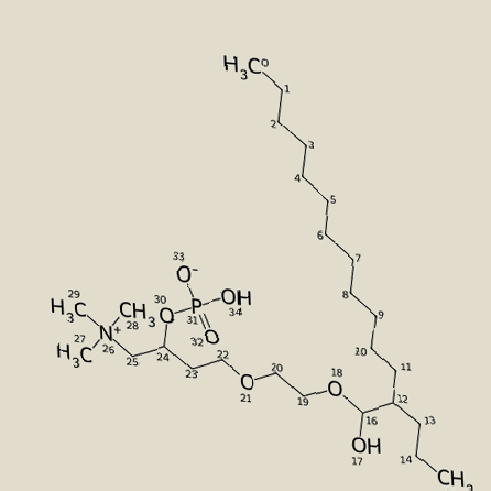 CCCCCCCCCCCCC(CCC)C(O)OCCOCCC(C[N+](C)(C)C)OP(=O)([O-])O